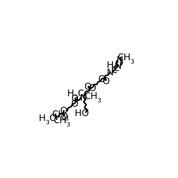 CN1CCN(CCCNCCC(=O)OCCCCOC(=O)CCC(C)(C)N(CCCCCO)CCC(=O)OCCCCOC(=O)CCC(C)(C)C)CC1